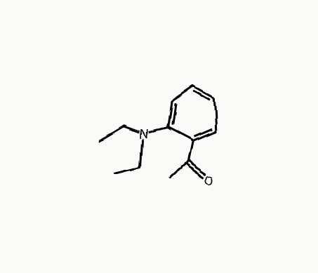 CCN(CC)c1ccccc1C(C)=O